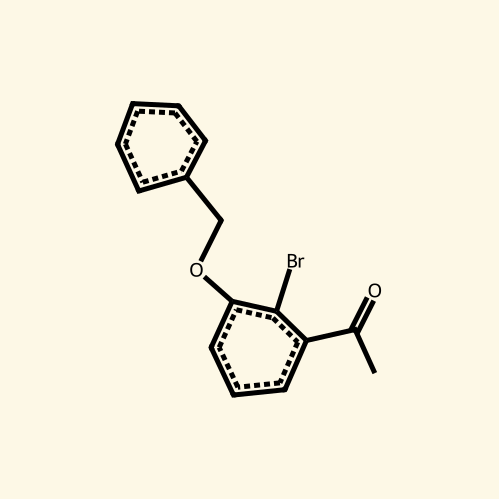 CC(=O)c1cccc(OCc2ccccc2)c1Br